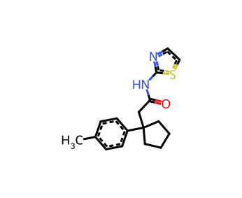 Cc1ccc(C2(CC(=O)Nc3nccs3)CCCC2)cc1